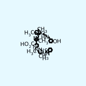 Cc1cc(N(C)c2ccc(-c3cnn(CC45CC6(C)CC(C)(C4)CC(OCCNCc4cccc(O)c4)(C6)C5)c3C)c(C(=O)O)n2)nnc1Nc1nc2ccccc2s1